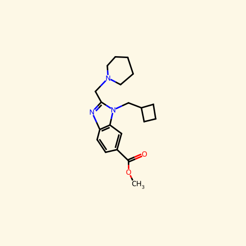 COC(=O)c1ccc2nc(CN3CCCCC3)n(CC3CCC3)c2c1